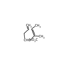 C=CCC=O.CC=C(C)C(=O)O